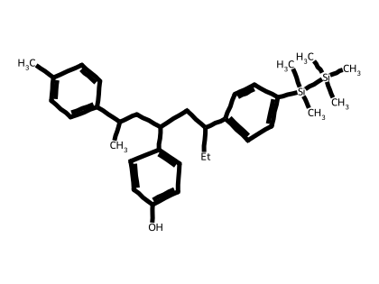 CCC(CC(CC(C)c1ccc(C)cc1)c1ccc(O)cc1)c1ccc([Si](C)(C)[Si](C)(C)C)cc1